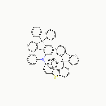 CC1c2c(sc3cccc(C4(c5ccccc5)c5ccccc5-c5ccccc54)c23)C=CC1N(c1ccccc1)c1cccc2c1-c1ccccc1C2(c1ccccc1)c1ccccc1